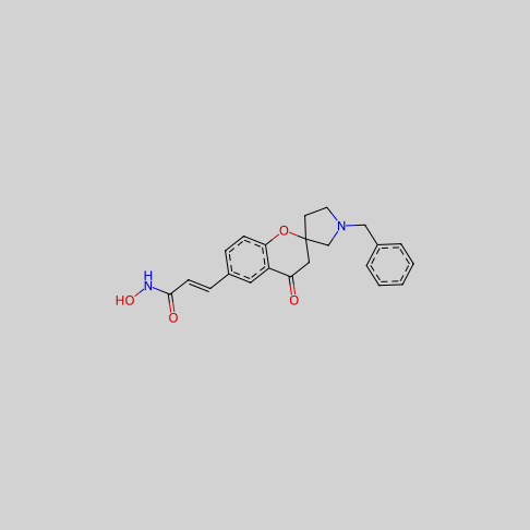 O=C(/C=C/c1ccc2c(c1)C(=O)CC1(CCN(Cc3ccccc3)C1)O2)NO